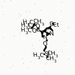 CCOc1cnc2c(c1)c(B1OC(C)(C)C(C)(C)O1)cn2COCC[Si](C)(C)C